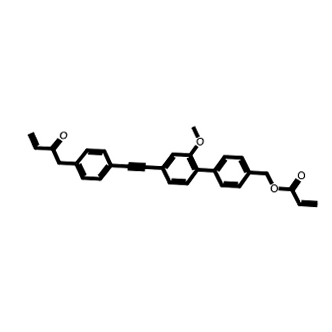 C=CC(=O)Cc1ccc(C#Cc2ccc(-c3ccc(COC(=O)C=C)cc3)c(OC)c2)cc1